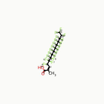 CC(=CC(F)C(F)(F)C(F)(F)C(F)(F)C(F)(F)C(F)(F)C(F)(F)C(F)(F)C(F)(F)C(F)C(F)F)C(=O)O